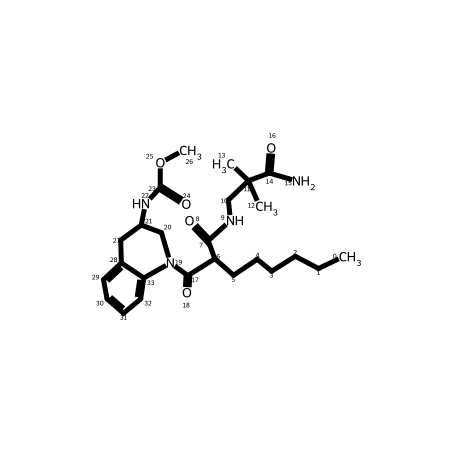 CCCCCCC(C(=O)NCC(C)(C)C(N)=O)C(=O)N1CC(NC(=O)OC)Cc2ccccc21